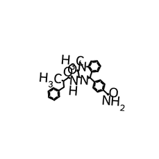 CC(Cc1ccccc1)C(=O)NC1N=C(c2ccc(C(N)=O)cc2)c2ccccc2N(C)C1=O